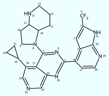 FC(F)(F)c1cc2c(-c3nc(N4CCC5NCCCC54)c4c(C5CC5)cncc4n3)ccnc2[nH]1